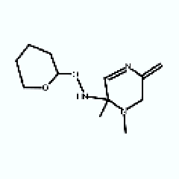 C=C1CN(C)C(C)(NOC2CCCCO2)C=N1